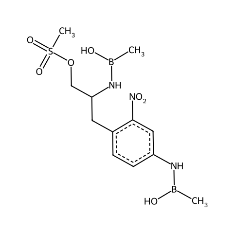 CB(O)Nc1ccc(CC(COS(C)(=O)=O)NB(C)O)c([N+](=O)[O-])c1